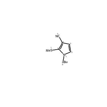 CCCCn1ccc(C#N)c1SC